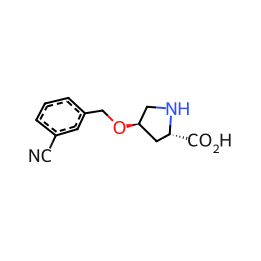 N#Cc1cccc(CO[C@H]2CN[C@H](C(=O)O)C2)c1